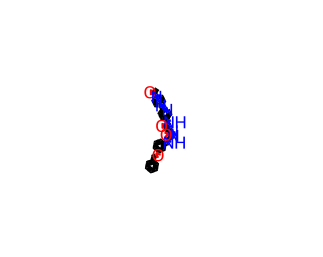 CC(=O)N1CCN(c2ccc(NC(=O)c3nnc(Nc4cccc(OCc5ccccc5)c4)o3)cn2)CC1